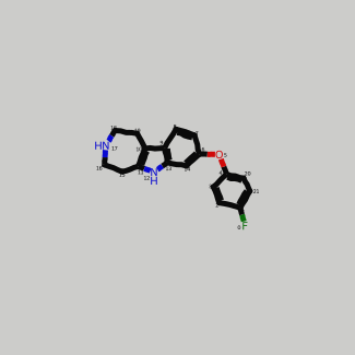 Fc1ccc(Oc2ccc3c4c([nH]c3c2)CCNCC4)cc1